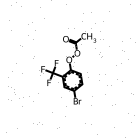 CC(=O)OOc1ccc(Br)cc1C(F)(F)F